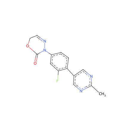 Cc1ncc(-c2ccc(N3N=CCOC3=O)cc2F)cn1